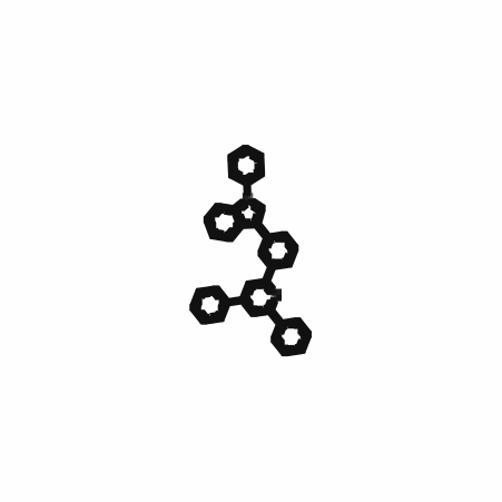 c1ccc(-c2cc(-c3ccccc3)nc(-c3cccc(-c4cn(-c5ccccc5)c5ccccc45)c3)c2)cc1